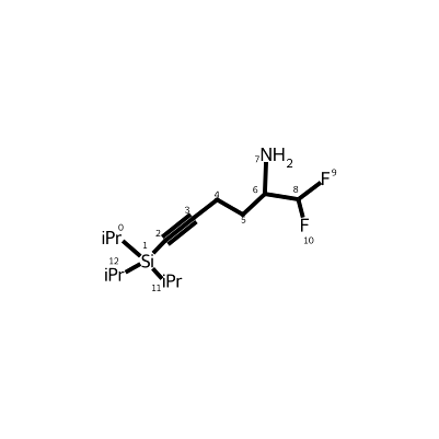 CC(C)[Si](C#CCCC(N)C(F)F)(C(C)C)C(C)C